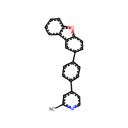 N#Cc1cc(-c2ccc(-c3ccc4oc5ccccc5c4c3)cc2)ccn1